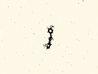 COc1ccc(/C=C/c2ccc[nH]2)cc1